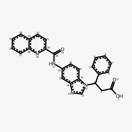 O=C(O)CC(c1ccccc1)n1cnc2cc(NC(=O)c3ccc4ccccc4n3)ccc21